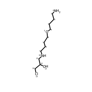 NCCCCOCCCCNCC(O)CCl